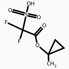 CC1(OC(=O)C(F)(F)S(=O)(=O)O)CC1